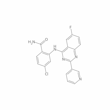 NC(=O)c1ccc(Cl)cc1Nc1nc(-c2cccnc2)nc2ccc(F)cc12